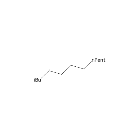 CCCCCCCC[CH]C(C)CC